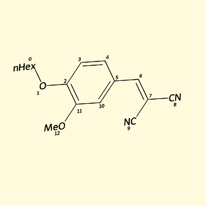 CCCCCCOc1ccc(C=C(C#N)C#N)cc1OC